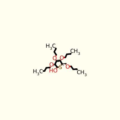 CCCCOC[C@H]1SC(O)[C@H](OCCCC)[C@@H](OCCCC)[C@@H]1OCCCC